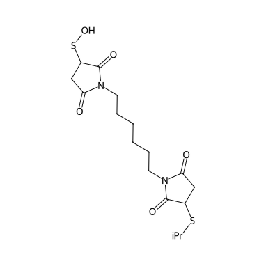 CC(C)SC1CC(=O)N(CCCCCCN2C(=O)CC(SO)C2=O)C1=O